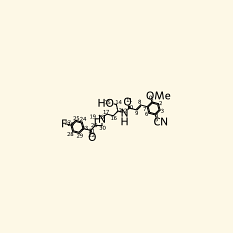 COc1ccc(C#N)cc1/C=C/C(=O)N[C@H](CO)CCN1CC(C(=O)c2ccc(F)cc2)C1